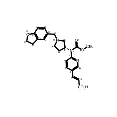 CC(C)(C)OC(=O)N(c1ccc(/C=C/C(=O)O)cn1)[C@@H]1CCN(Cc2ccc3c(c2)CCO3)C1